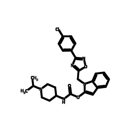 CC(C)N1CCC(NC(=O)Oc2cc3ccccc3n2Cc2nc(-c3ccc(Cl)cc3)no2)CC1